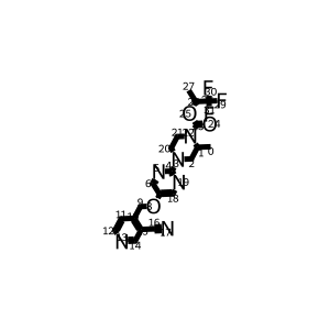 CC1CN(c2ncc(OCc3ccncc3C#N)cn2)CCN1C(=O)OC(C)C(F)(F)F